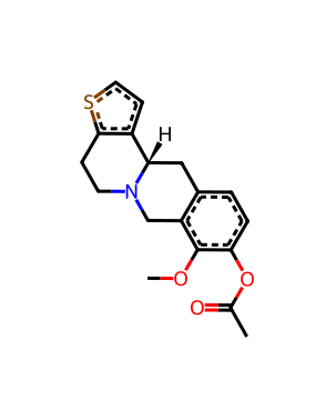 COc1c(OC(C)=O)ccc2c1CN1CCc3sccc3[C@@H]1C2